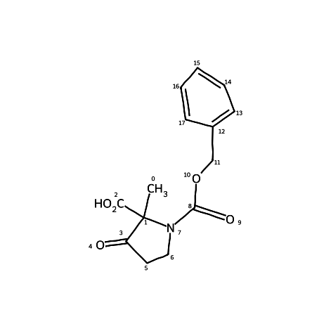 CC1(C(=O)O)C(=O)CCN1C(=O)OCc1ccccc1